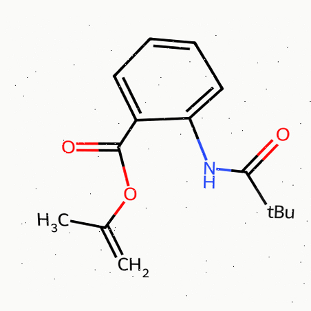 C=C(C)OC(=O)c1ccccc1NC(=O)C(C)(C)C